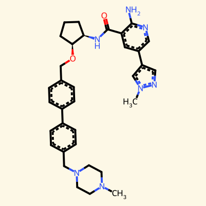 CN1CCN(Cc2ccc(-c3ccc(CO[C@H]4CCC[C@H]4NC(=O)c4cc(-c5cnn(C)c5)cnc4N)cc3)cc2)CC1